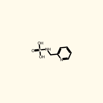 O=P(O)(O)NCc1ccccn1